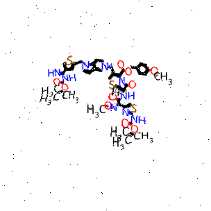 CO/N=C(\C(=O)N[C@@H]1C(=O)N2C(C(=O)OCc3ccc(OC)cc3)=C(C[n+]3ccc4c(ccn4Cc4cc(C(=N)NC(=O)OC(C)(C)C)cs4)c3)CS[C@H]12)c1csc(NC(=O)OC(C)(C)C)n1